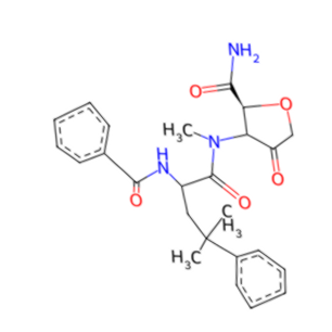 CN(C(=O)C(CC(C)(C)c1ccccc1)NC(=O)c1ccccc1)C1C(=O)CO[C@@H]1C(N)=O